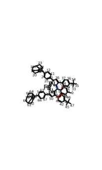 Cc1cc(C)c(/C(=C2/N=C(c3ccc(C4C5CC6CC(C5)CC4C6)cc3)C=C2c2ccc(C(C)(C)C)cc2)c2c(-c3ccc(C(C)(C)C)cc3)cc(-c3ccc(C4C5CC6CC(C5)CC4C6)cc3)n2B(F)F)c(C)c1